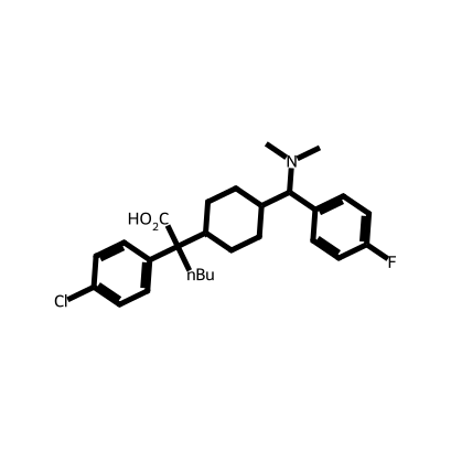 CCCCC([C]1CCC(C(c2ccc(F)cc2)N(C)C)CC1)(C(=O)O)c1ccc(Cl)cc1